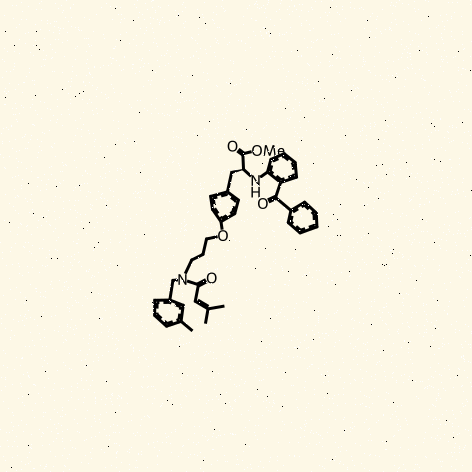 COC(=O)[C@H](Cc1ccc(OCCCN(Cc2cccc(C)c2)C(=O)C=C(C)C)cc1)Nc1ccccc1C(=O)c1ccccc1